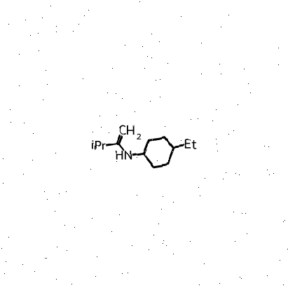 C=C(NC1CCC(CC)CC1)C(C)C